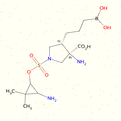 CC1(C)C(N)C1OS(=O)(=O)N1C[C@H](CCCB(O)O)[C@](N)(C(=O)O)C1